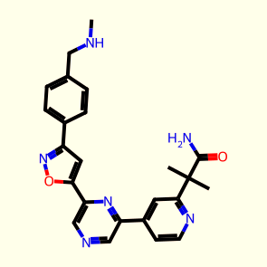 CNCc1ccc(-c2cc(-c3cncc(-c4ccnc(C(C)(C)C(N)=O)c4)n3)on2)cc1